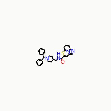 O=C(NCC1CCN(C(c2ccccc2)c2ccccc2)CC1)C1=Cc2cnc3cccc(n23)S1